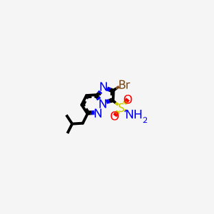 CC(C)Cc1ccc2nc(Br)c(S(N)(=O)=O)n2n1